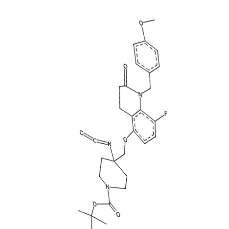 COc1ccc(CN2C(=O)CCc3c(OCC4(N=C=O)CCN(C(=O)OC(C)(C)C)CC4)ccc(F)c32)cc1